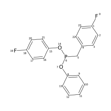 Fc1ccc(CP(Oc2ccccc2)Oc2ccc(F)cc2)cc1